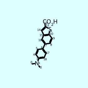 CN(C)c1ccc(-c2ccc3sc(C(=O)O)cc3c2)cc1